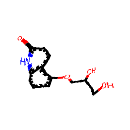 O=c1ccc2c(OCC(O)CO)cccc2[nH]1